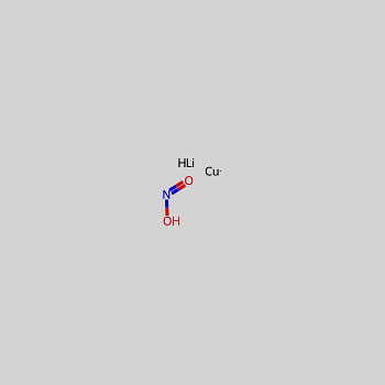 O=NO.[Cu].[LiH]